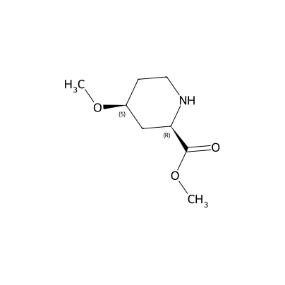 COC(=O)[C@H]1C[C@@H](OC)CCN1